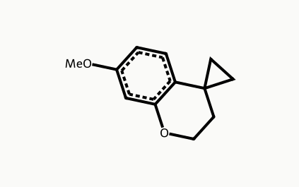 COc1ccc2c(c1)OCCC21CC1